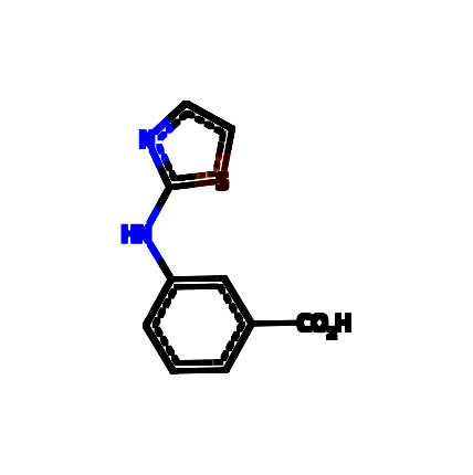 O=C(O)c1cccc(Nc2nccs2)c1